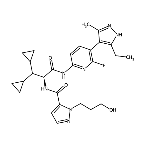 CCc1[nH]nc(C)c1-c1ccc(NC(=O)[C@@H](NC(=O)c2ccnn2CCCO)C(C2CC2)C2CC2)nc1F